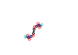 CC(C)(c1ccc(Oc2ccc(N3C(=O)C=C(C(F)(F)F)C3=O)cc2)cc1)c1ccc(Oc2ccc(N3C(=O)C=C(C(F)(F)F)C3=O)cc2)cc1